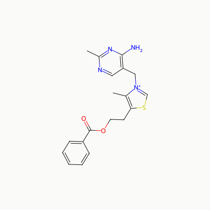 Cc1ncc(C[n+]2csc(CCOC(=O)c3ccccc3)c2C)c(N)n1